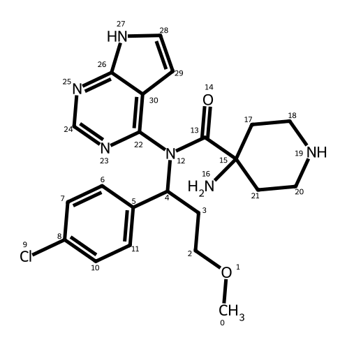 COCCC(c1ccc(Cl)cc1)N(C(=O)C1(N)CCNCC1)c1ncnc2[nH]ccc12